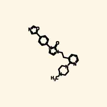 CN1CCN(c2ncccc2CCn2ccn(-c3ccc(-c4cnco4)cc3)c2=O)CC1